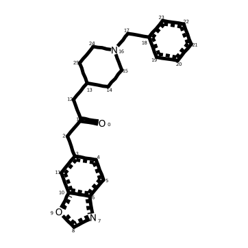 O=C(Cc1ccc2ncoc2c1)CC1CCN(Cc2ccccc2)CC1